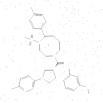 COc1ccc([C@@H]2CN(c3ccc(Cl)nn3)C[C@H]2C(=O)N2CCCC(c3ccc(Cl)cc3)N(S(C)(=O)=O)CC2)c(F)c1